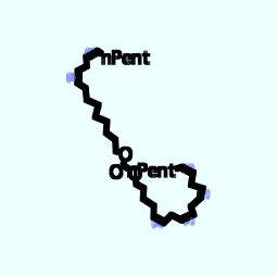 CCCCC/C=C\C/C=C\C/C=C\C/C=C\CCCCOC(=O)OCCCCCCCC/C=C\C/C=C\CCCCC